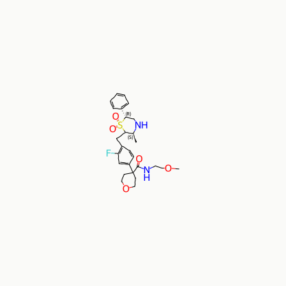 COCCNC(=O)C1(c2ccc(CC3[C@H](C)NC[C@@H](c4ccccc4)S3(=O)=O)c(F)c2)CCOCC1